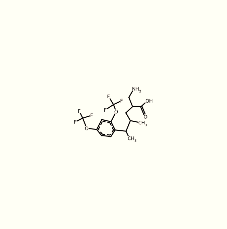 CC(CC(CN)C(=O)O)C(C)c1ccc(OC(F)(F)F)cc1OC(F)(F)F